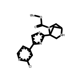 CC(C)(C)OC(=O)N1CC2CC1(c1nc(-c3ccnc(Cl)c3)cs1)CN2